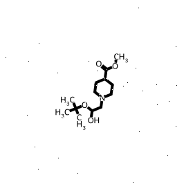 COC(=O)C1CCN(CC(O)OC(C)(C)C)CC1